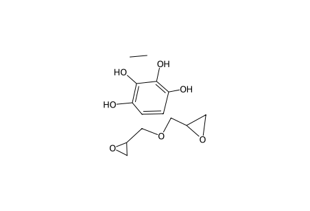 C(OCC1CO1)C1CO1.CC.Oc1ccc(O)c(O)c1O